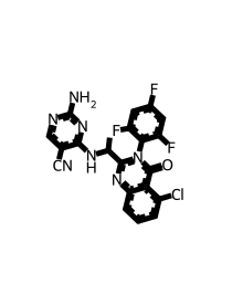 CC(Nc1nc(N)ncc1C#N)c1nc2cccc(Cl)c2c(=O)n1-c1c(F)cc(F)cc1F